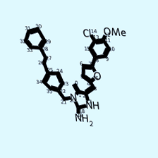 C=C1/C(=C\c2ccc(-c3ccc(OC)c(Cl)c3)o2)NC(N)N1Cc1ccc(CCc2ccccc2)cc1